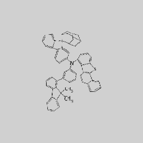 CC1(C)c2ccccc2-c2cccc(-c3cccc(N(c4ccc5c(c4)C4(c6ccccc6-5)C5CC6CC(C5)CC4C6)c4cccc5sc6c7ccccc7ccc6c45)c3)c21